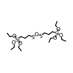 CCO[Si](CCCSOSCCC[Si](OCC)(OCC)OCC)(OCC)OCC